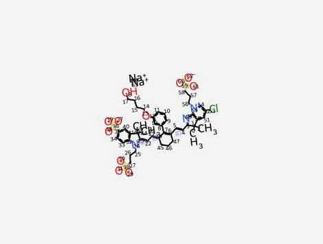 CC1(C)C(/C=C/C2=C(c3cccc(OCCCCO)c3)C(=C/C=C3/N(CCCS(=O)(=O)[O-])c4ccc(S(=O)(=O)[O-])cc4C3(C)C)/CCC2)=Nc2c1cc(Cl)c[n+]2CCCS(=O)(=O)[O-].[Na+].[Na+]